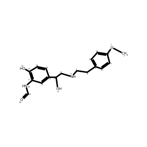 COc1ccc(CCNCC(O)c2ccc(O)c(NC=O)c2)cc1